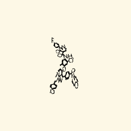 COc1ccc(Cn2nc(-c3ccc(C(=O)N4CCOCC4)cc3)c3c(Oc4cc(Cl)c(NC(=O)c5ccnn(-c6ccc(F)cc6)c5=O)cc4C)ccnc32)cc1